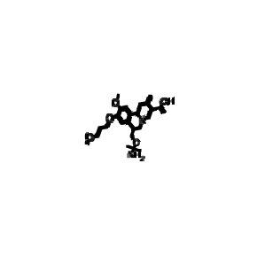 C=C(O)C1=CN2CC(COC(C)(C)N)c3cc(OCCCOC)c(OC)cc3C2=CC1=C